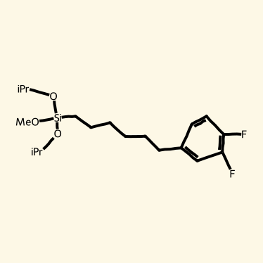 CO[Si](CCCCCCc1ccc(F)c(F)c1)(OC(C)C)OC(C)C